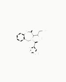 CCC(C)C1C(=O)Nc2ccccc2CN1C(=O)c1c[nH]nn1